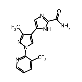 NC(=O)c1ncc(-c2cn(-c3ncccc3C(F)(F)F)nc2C(F)(F)F)[nH]1